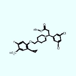 CC(C)(C)OC(=O)CC(c1cc(Cl)cc(Cl)c1)N1CCC(COc2cc(F)c(C(=O)O)cc2C2CC2)CC1